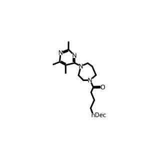 CCCCCCCCCCCCCC(=O)N1CCCN(c2nc(C)nc(C)c2C)CC1